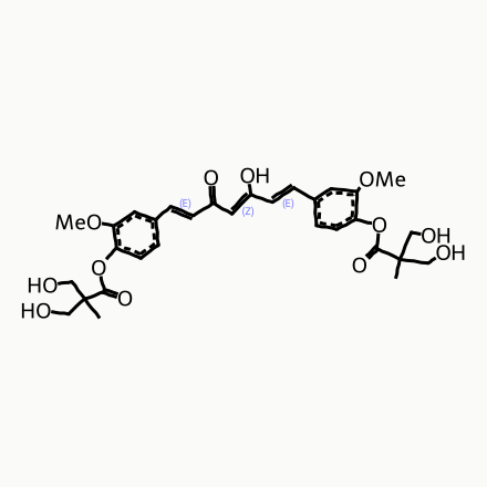 COc1cc(/C=C/C(=O)/C=C(O)/C=C/c2ccc(OC(=O)C(C)(CO)CO)c(OC)c2)ccc1OC(=O)C(C)(CO)CO